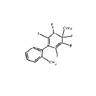 COC1(F)C(F)=C(F)C(c2ccccc2C)=C(F)C1F